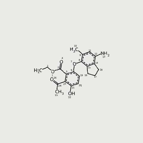 CCOC(=O)c1c(Oc2c(C)cc(N)c3c2CCC3)ccc(O)c1C(C)=O